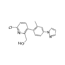 Cc1cc(-n2cccn2)ccc1-c1ccc(Cl)nc1CO